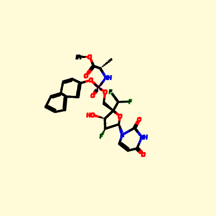 CC(C)OC(=O)[C@H](C)NP(=O)(OC[C@@]1(C(F)F)O[C@@H](n2ccc(=O)[nH]c2=O)[C@H](F)[C@@H]1O)Oc1ccc2ccccc2c1